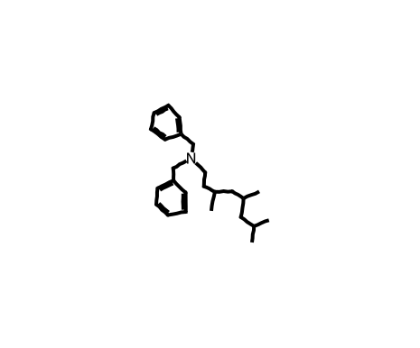 CC(C)CC(C)CC(C)CCN(Cc1ccccc1)Cc1ccccc1